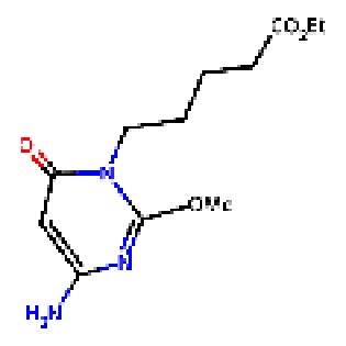 CCOC(=O)CCCCn1c(OC)nc(N)cc1=O